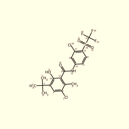 Cc1c(Cl)cc(C(C)(C)C)c(O)c1C(=O)Nc1ccc(S(=O)(=O)C(F)(F)F)c(Cl)c1